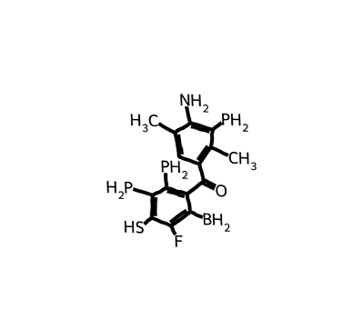 Bc1c(F)c(S)c(P)c(P)c1C(=O)c1cc(C)c(N)c(P)c1C